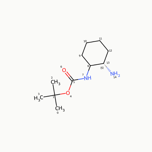 CC(C)(C)OC(=O)NC1CCCC[C@@H]1N